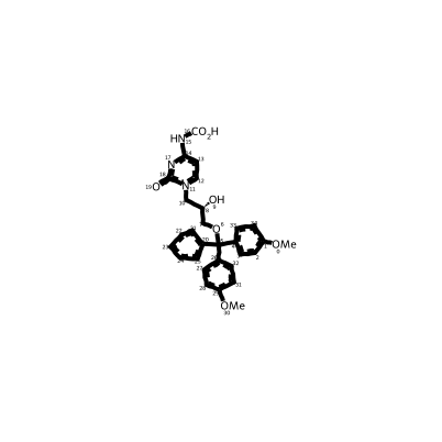 COc1ccc(C(OC[C@@H](O)Cn2ccc(NC(=O)O)nc2=O)(c2ccccc2)c2ccc(OC)cc2)cc1